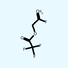 C=C(F)COC(=O)C(F)(F)F